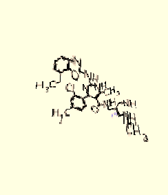 CCc1cccc2nc(NC3=NC(c4ccc(C)cc4Cl)C(C(=O)NC/C(C=N)=C/NC)=C(C)N3)oc12